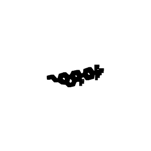 CCCc1ccc2c(c1)CCc1c-2ccc(-c2ccc(C(F)(F)F)cc2)c1F